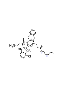 C=C/C=C\C=C(/C)C(=O)CCC(=O)N1Cc2ccccc2C[C@H]1C(=O)N[C@@H](CCN)C(=O)Nc1cccc(Cl)c1C(F)(F)F